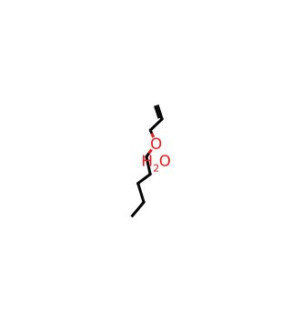 C=CCOCCCCC.O